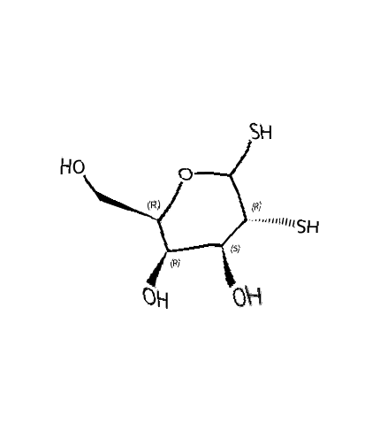 OC[C@H]1OC(S)[C@H](S)[C@@H](O)[C@H]1O